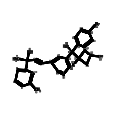 Cc1cccc([C@](C)(O)C#Cc2cncc([C@@](O)(c3ccc(C(C)C)cc3)C3(C)CN(C(C)C)C3)c2)n1